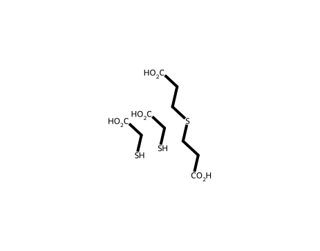 O=C(O)CCSCCC(=O)O.O=C(O)CS.O=C(O)CS